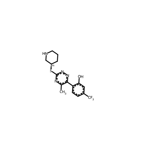 Cc1nc(S[C@@H]2CCCNC2)nnc1-c1ccc(C(F)(F)F)cc1O